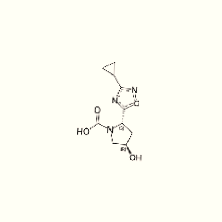 O=C(O)N1C[C@H](O)C[C@H]1c1nc(C2CC2)no1